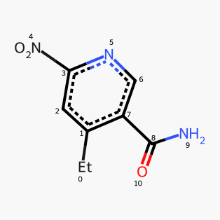 CCc1cc([N+](=O)[O-])ncc1C(N)=O